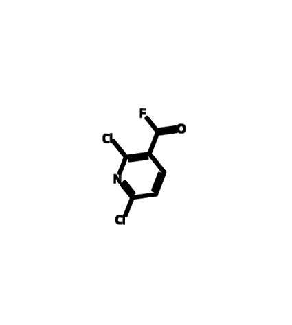 O=C(F)c1ccc(Cl)nc1Cl